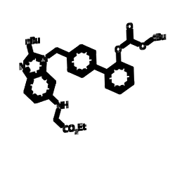 CCCCc1nc2ccc(NCC(=O)OCC)cc2n1Cc1ccc(-c2ccccc2OC(=O)OC(C)(C)C)cc1